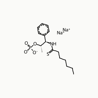 CCCCCCC(=S)N[C@H](c1ccccc1)[C@H](C)OP(=O)([O-])[O-].[Na+].[Na+]